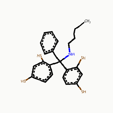 CCCCNC(c1ccccc1)(c1ccc(S)cc1S)c1ccc(S)cc1S